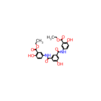 CCOC(=O)c1cc(NC(=O)c2cc(O)cc(C(=O)Nc3ccc(O)c(C(=O)OCC)c3)c2)ccc1O